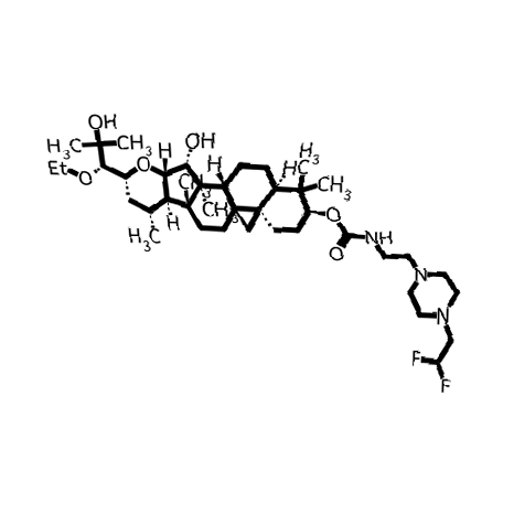 CCO[C@@H]([C@H]1C[C@@H](C)[C@H]2[C@H](O1)[C@H](O)[C@@]1(C)[C@@H]3CC[C@H]4C(C)(C)[C@@H](OC(=O)NCCN5CCN(CC(F)F)CC5)CC[C@@]45C[C@@]35CC[C@]21C)C(C)(C)O